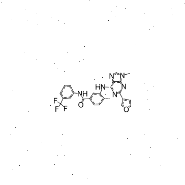 Cc1ccc(C(=O)Nc2cccc(C(F)(F)F)c2)cc1Nc1nc(-c2ccoc2)nc2c1ncn2C